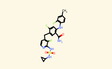 Cc1ccc(Nc2cc(F)c(Cc3ccnc(NS(=O)(=O)NC4CC4)c3F)cc2C(N)=O)c(F)c1